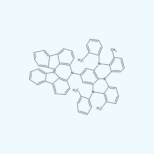 Cc1ccccc1N1c2cc(N(c3cccc4c3oc3ccccc34)c3cccc4c3oc3ccccc34)cc3c2B(c2cccc(C)c21)c1cccc(C)c1N3c1ccccc1C